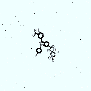 CC1(NC(=O)c2ccc3c(-c4cccc(C(N)=O)c4)nn(-c4ccc(F)cc4)c3c2)CCS(=O)(=O)C1